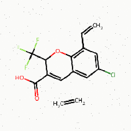 C=C.C=Cc1cc(Cl)cc2c1OC(C(F)(F)F)C(C(=O)O)=C2